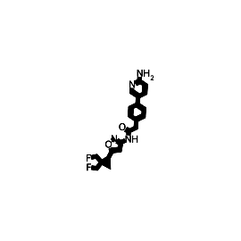 Nc1ccc(-c2ccc(CC(=O)Nc3cc(C4CC4(CF)CF)on3)cc2)cn1